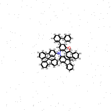 CC1(C)c2ccccc2-c2ccc(N(c3ccc4c(c3)C3(c5ccccc5-c5ccccc53)c3ccccc3-4)c3cc(-c4ccccc4-c4ccccc4)cc4oc5c6ccccc6ccc5c34)cc21